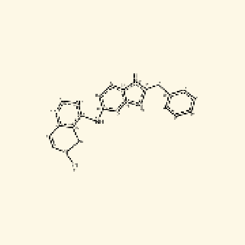 ClN1C=Cc2ncnc(Nc3ccc4[nH]c(Cc5ccccc5)nc4c3)c2C1